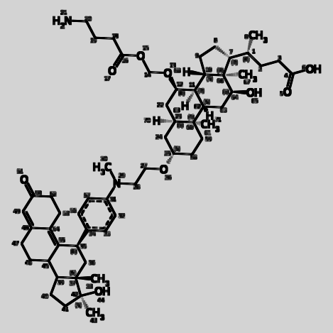 C[C@H](CCC(=O)O)[C@H]1CC[C@H]2[C@@H]3[C@H](OCOC(=O)CCCN)C[C@@H]4C[C@@H](OCCN(C)c5ccc([C@H]6C[C@@]7(C)C(CC[C@]7(C)O)C7CCC8=CC(=O)CCC8=C76)cc5)CC[C@]4(C)[C@H]3C[C@H](O)[C@]12C